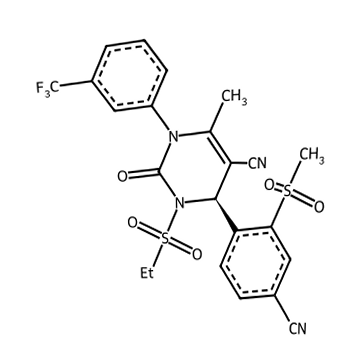 CCS(=O)(=O)N1C(=O)N(c2cccc(C(F)(F)F)c2)C(C)=C(C#N)[C@H]1c1ccc(C#N)cc1S(C)(=O)=O